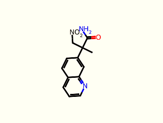 CC(C[N+](=O)[O-])(C(N)=O)c1ccc2cccnc2c1